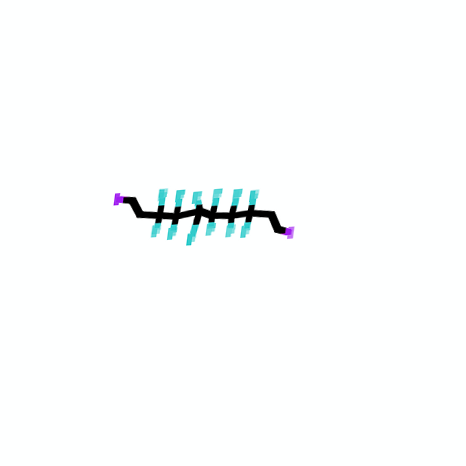 FC(F)(CCI)C(F)(F)C(F)(F)C(F)(F)C(F)(F)C(F)(F)CCI